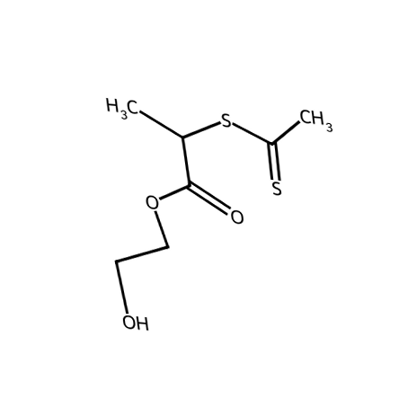 CC(=S)SC(C)C(=O)OCCO